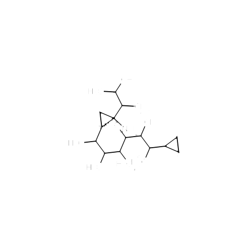 CC(C)C(C)C1(N)CC1C(C)C(C)C(C)C(C)C(C)C(C)C1CC1